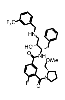 COC[C@H]1CCCN1C(=O)c1cc(C(=O)N[C@@H](Cc2ccccc2)[C@H](O)CNCc2cccc(C(F)(F)F)c2)ccc1F